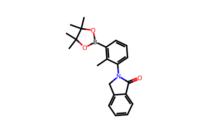 Cc1c(B2OC(C)(C)C(C)(C)O2)cccc1N1Cc2ccccc2C1=O